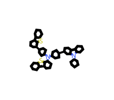 c1ccc(-n2c3ccccc3c3ccc(-c4ccc(N(c5ccc(-c6cccc7c6sc6ccccc67)cc5)c5cccc6c5sc5ccccc56)cc4)cc32)cc1